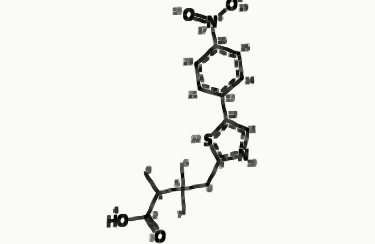 CC(C(=O)O)C(C)(C)Cc1ncc(-c2ccc([N+](=O)[O-])cc2)s1